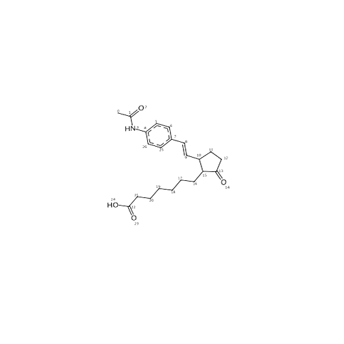 CC(=O)Nc1ccc(/C=C/C2CCC(=O)C2CCCCCCC(=O)O)cc1